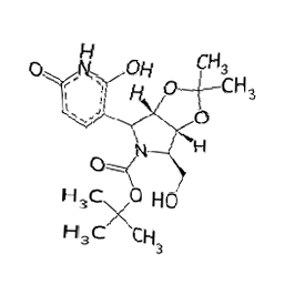 CC(C)(C)OC(=O)N1C(c2ccc(=O)[nH]c2O)[C@@H]2OC(C)(C)O[C@@H]2[C@H]1CO